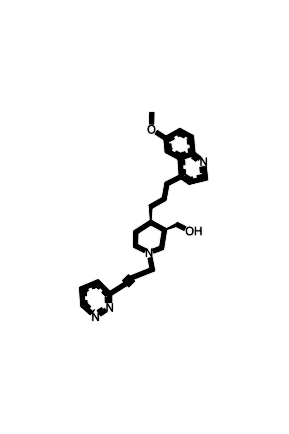 COc1ccc2nccc(CCC[C@@H]3CCN(CC#Cc4cccnn4)C[C@@H]3CO)c2c1